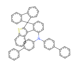 c1ccc(-c2ccc(N(c3ccc(-c4ccccc4)cc3)c3cccc4c3-c3c(sc5ccccc35)C43c4ccccc4-c4ccccc43)cc2)cc1